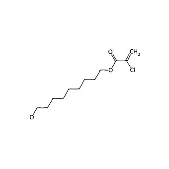 C=C(Cl)C(=O)OCCCCCCCCC[O]